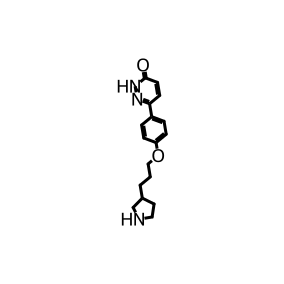 O=c1ccc(-c2ccc(OCCCC3CCNC3)cc2)n[nH]1